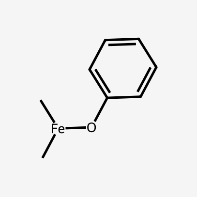 [CH3][Fe]([CH3])[O]c1ccccc1